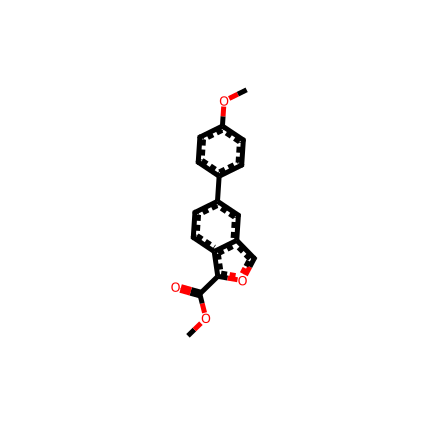 COC(=O)c1occ2cc(-c3ccc(OC)cc3)ccc12